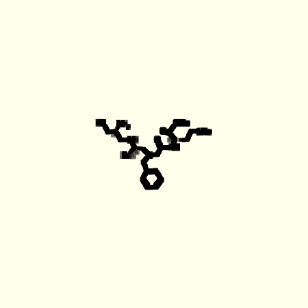 CC[C@H](C)[C@@H](CN(CC(=O)N[C@@H](CCSC)C(=O)OC)Cc1ccccc1)NC[C@@H](N)CS